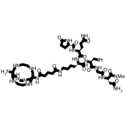 CNC(=O)[C@H](CC(N)=O)NC(=O)CNC(=O)[C@H](CC(C)C)NC(=O)[C@H](CCCCNC(=O)CCCC(=O)NC12CNCCNCC(N)(CNCCNC1)CNCCNC2)NC(=O)[C@H](CCC(N)=O)NC(=O)[C@@H]1CCC(=O)N1